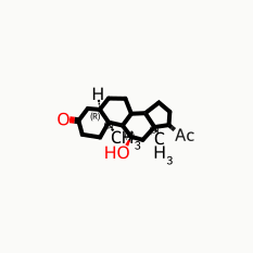 CC(=O)C1CCC2C3CC[C@@H]4CC(=O)CC[C@]4(C)C3[C@H](O)C[C@]12C